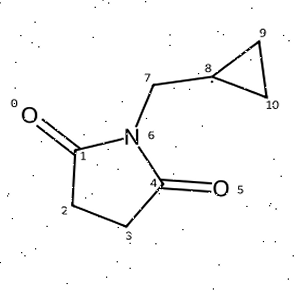 O=C1CCC(=O)N1C[C]1CC1